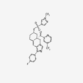 Cn1cc(S(=O)(=O)C[C@@H]2CCC3=Cc4c(cnn4-c4ccc(F)cc4)C[C@]3(C(=O)c3cc(C(F)(F)F)ccn3)C2)cn1